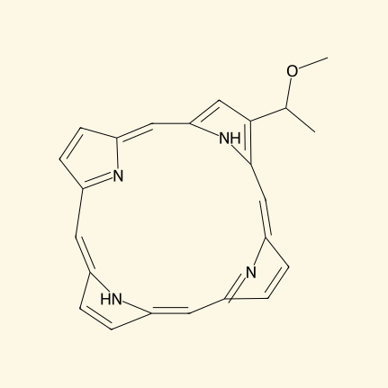 COC(C)c1cc2cc3nc(cc4ccc(cc5nc(cc1[nH]2)C=C5)[nH]4)C=C3